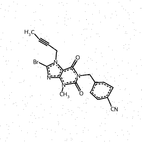 CC#CCn1c(Br)nc2c1c(=O)n(Cc1ccc(C#N)cc1)c(=O)n2C